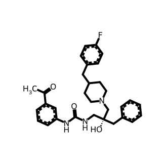 CC(=O)c1cccc(NC(=O)NC[C@](O)(Cc2ccccc2)CN2CCC(Cc3ccc(F)cc3)CC2)c1